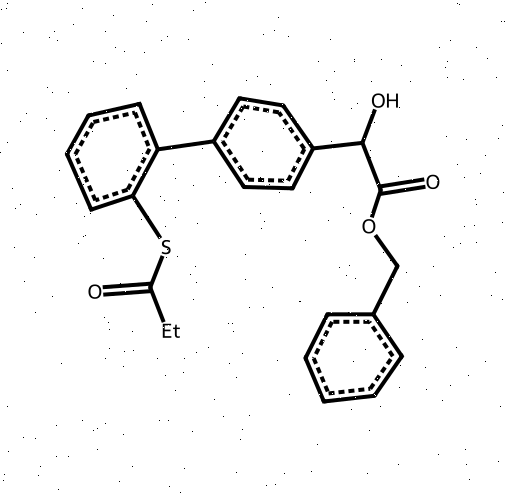 CCC(=O)Sc1ccccc1-c1ccc(C(O)C(=O)OCc2ccccc2)cc1